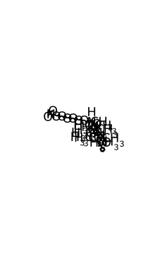 CCC(C)C(C(CC(=O)N1CCC[C@H]1C(OC)C(C)C(=O)NCC1(c2ccccc2)CC1)OC)N(C)C(=O)C(NC(=O)C(C)(C)NC(=O)CCOCCOCCOCCOCCOCCOCCN1C(=O)C=CC1=O)C(C)C